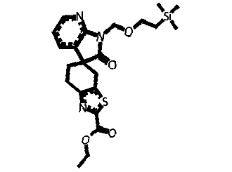 CCOC(=O)c1nc2c(s1)CC1(CC2)C(=O)N(COCC[Si](C)(C)C)c2ncccc21